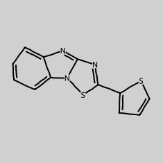 c1csc(-c2nc3nc4ccccc4n3s2)c1